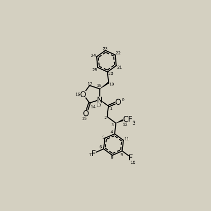 O=C(C[C@H](c1cc(F)cc(F)c1)C(F)(F)F)N1C(=O)OC[C@H]1Cc1ccccc1